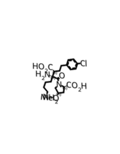 CO[C@@H]1C[C@@H](C(=O)O)N(C(=O)[C@@](N)(CCCCN)[C@H](CCc2ccc(Cl)cc2)C(=O)O)C1